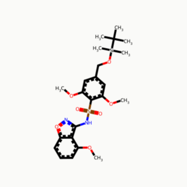 COc1cc(CO[Si](C)(C)C(C)(C)C)cc(OC)c1S(=O)(=O)Nc1noc2cccc(OC)c12